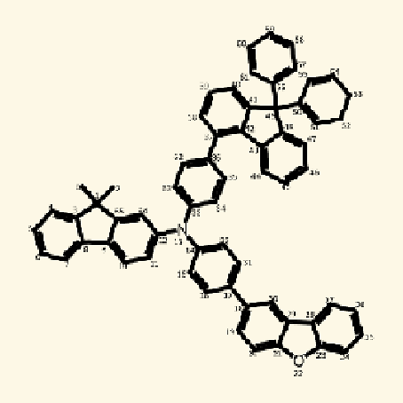 CC1(C)c2ccccc2-c2ccc(N(c3ccc(-c4ccc5oc6ccccc6c5c4)cc3)c3ccc(-c4cccc5c4-c4ccccc4C5(C4=CCCC=C4)c4ccccc4)cc3)cc21